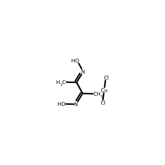 CC(=NO)C(C)=NO.[Cl][Cu][Cl]